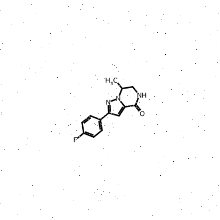 CC1CNC(=O)c2cc(-c3ccc(F)cc3)nn21